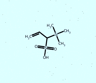 C=C[C]([Si](C)(C)C)S(=O)(=O)O